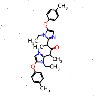 CCn1c(Oc2ccc(C)cc2)cnc1C(C)C(=O)C(C)c1ncc(Oc2ccc(C)cc2)n1CC